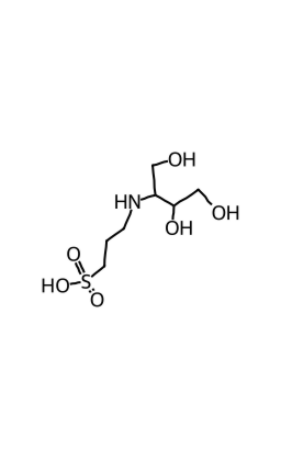 O=S(=O)(O)CCCNC(CO)C(O)CO